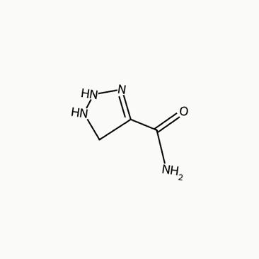 NC(=O)C1=NNNC1